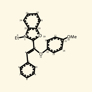 CC[n+]1c(C(=Cc2ccccc2)Oc2ccc(OC)cc2)oc2ccccc21